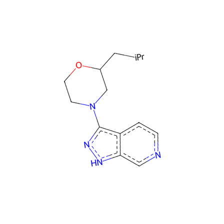 CC(C)CC1CN(c2n[nH]c3cnccc23)CCO1